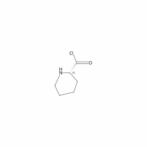 O=C(Cl)[C@@H]1CCCCN1